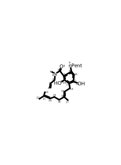 C=CCN(C)C(=O)c1c(CCCCC)cc(O)c(C/C=C(\C)CCC=C(C)C)c1O